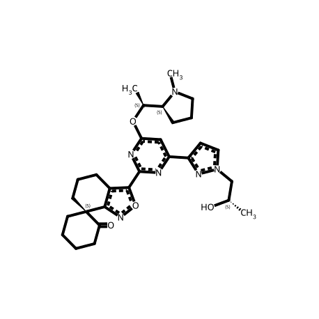 C[C@H](O)Cn1ccc(-c2cc(O[C@@H](C)[C@@H]3CCCN3C)nc(-c3onc4c3CCC[C@@]43CCCCC3=O)n2)n1